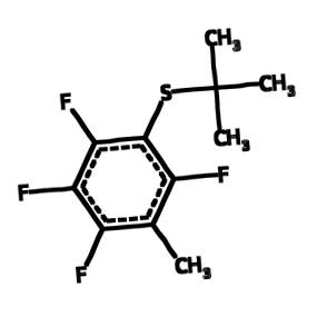 Cc1c(F)c(F)c(F)c(SC(C)(C)C)c1F